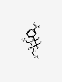 CCOP(=O)(OCC)C(F)(F)C(F)(F)c1cccc([N+](=O)[O-])c1